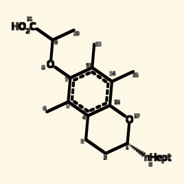 CCCCCCC[C@@H]1CCc2c(C)c(OC(C)C(=O)O)c(C)c(C)c2O1